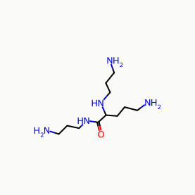 NCCCNC(=O)C(CCCN)NCCCN